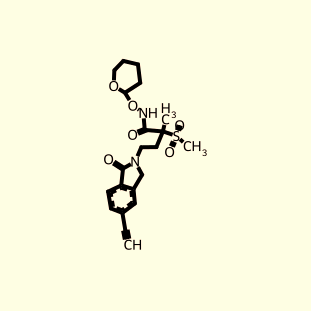 C#Cc1ccc2c(c1)CN(CCC(C)(C(=O)NOC1CCCCO1)S(C)(=O)=O)C2=O